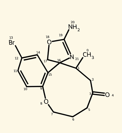 CC1CC(=O)CCCOc2ccc(Br)cc2C12COC(N)=N2